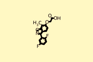 Cc1c(OCC(=O)O)ccc2c(-c3cc(F)ccc3F)noc12